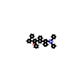 c1ccc(-c2nc(-c3ccccc3)nc(-c3ccc(-c4ccc(-c5ccc(-c6ccccc6-c6ccccc6)c6oc7ccccc7c56)c5ccccc45)c4ccccc34)n2)cc1